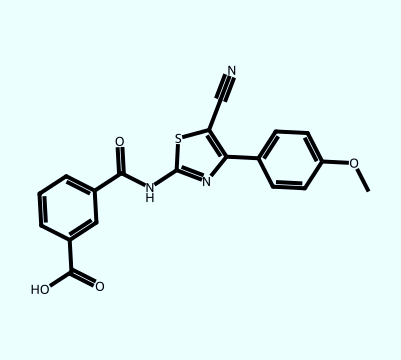 COc1ccc(-c2nc(NC(=O)c3cccc(C(=O)O)c3)sc2C#N)cc1